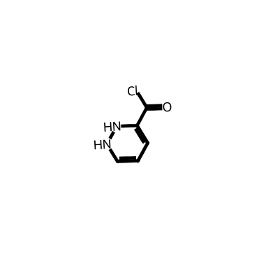 O=C(Cl)C1=CC=CNN1